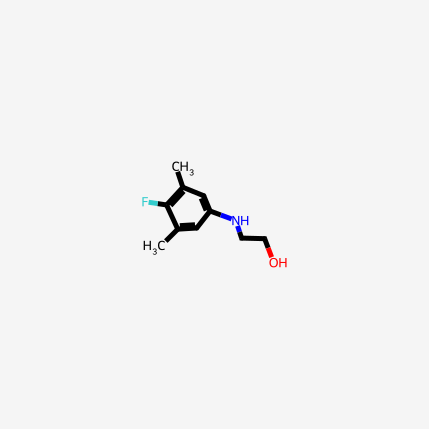 Cc1cc(NCCO)cc(C)c1F